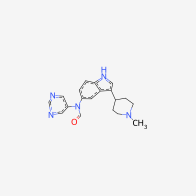 CN1CCC(c2c[nH]c3ccc(N(C=O)c4cncnc4)cc23)CC1